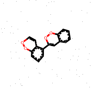 C1=Cc2c(cccc2C2=Cc3ccccc3OO2)OO1